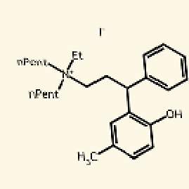 CCCCC[N+](CC)(CCCCC)CCC(c1ccccc1)c1cc(C)ccc1O.[I-]